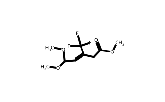 COC(=O)CC(=CC(OC)OC)C(F)(F)F